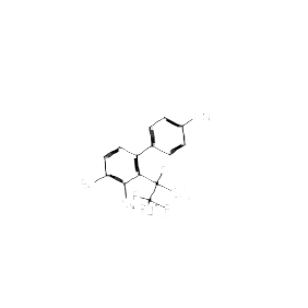 N#Cc1ccc(-c2c[c]c(Br)c(OC(F)(F)F)c2C(F)(C(F)(F)F)C(F)(F)C(F)(F)F)cc1